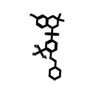 BC(B)(O)c1cc(S(=O)(=O)N2CC(C)(C)Cc3cc(C(C)C)ccc32)ccc1OCC1CCOCC1